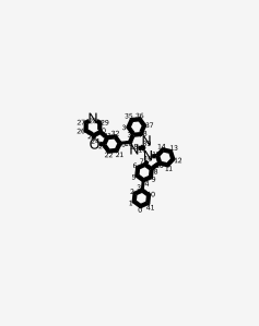 c1ccc(-c2ccc3c(c2)c2ccccc2n3-c2nc(-c3ccc4oc5ccncc5c4c3)c3ccccc3n2)cc1